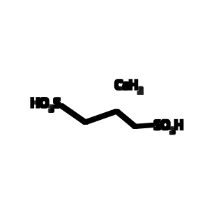 O=S(=O)(O)CCCS(=O)(=O)O.[CaH2]